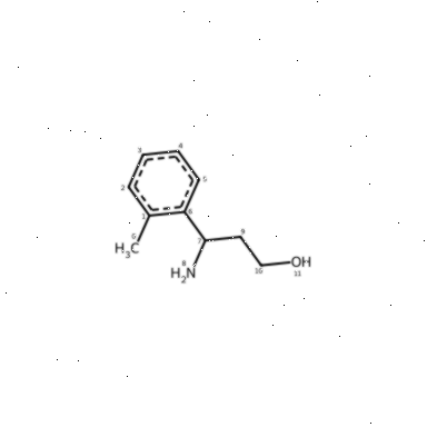 Cc1ccccc1C(N)CCO